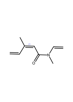 C=C/C(C)=C\C(=O)N(C)C=C